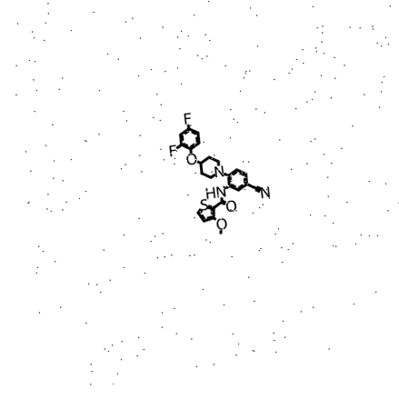 COc1ccsc1C(=O)Nc1cc(C#N)ccc1N1CCC(Oc2ccc(F)cc2F)CC1